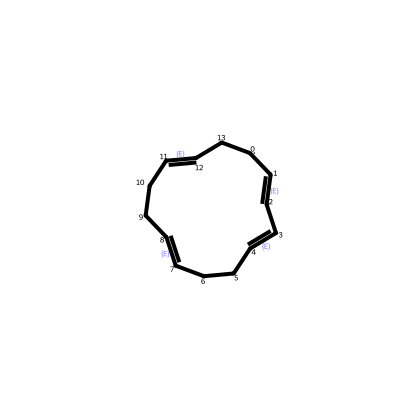 [CH]1/C=C/C=C/CC/C=C/CC/C=C/C1